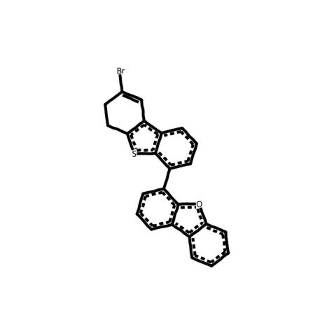 BrC1=Cc2c(sc3c(-c4cccc5c4oc4ccccc45)cccc23)CC1